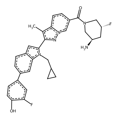 Cc1c(-c2cc3ccc(-c4ccc(O)c(F)c4)cc3n2CC2CC2)nn2cc(C(=O)N3C[C@H](N)C[C@@H](F)C3)ccc12